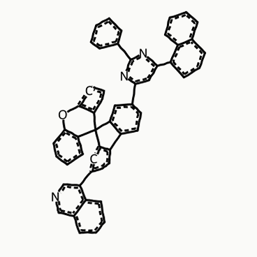 c1ccc(-c2nc(-c3ccc4c(c3)C3(c5ccccc5Oc5ccccc53)c3cc(-c5cncc6ccccc56)ccc3-4)cc(-c3cccc4ccccc34)n2)cc1